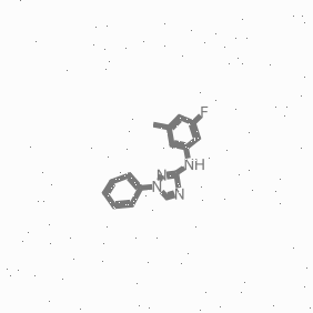 Cc1cc(F)cc(Nc2ncn(-c3ccccc3)n2)c1